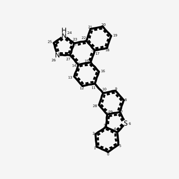 c1ccc2c(c1)sc1ccc(-c3ccc4c(c3)c3ccccc3c3[nH]cnc43)cc12